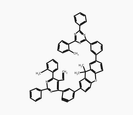 C=Cc1c(-c2c#ccc(-c3ccc4c(c3)C(C)(C)c3cc(-c5cccc(-c6nc(-c7ccccc7)nc(-c7ccccc7C)n6)c5)ccc3O4)c2)nc(-c2ccccc2)nc1-c1ccccc1C